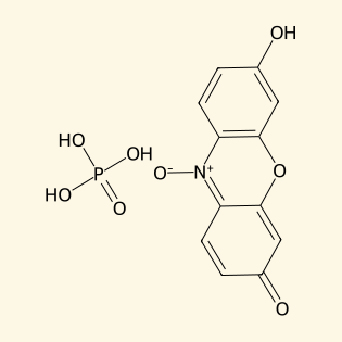 O=P(O)(O)O.O=c1ccc2[n+]([O-])c3ccc(O)cc3oc-2c1